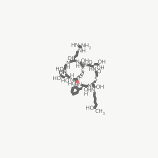 C[C@H](O)CCCCCN[C@@H](O)[C@@H]1CSCC(=O)N[C@H](CC(O)O)C(=O)N[C@H]2CSSC[C@H](N[C@H](O)[C@@H](CC(O)O)N[C@@H](O)CN[C@H](O)[C@@H](CCCNC(=N)N)N[C@H]2O)[C@H](O)N[C@H](Cc2ccccc2)[C@@H](O)N1